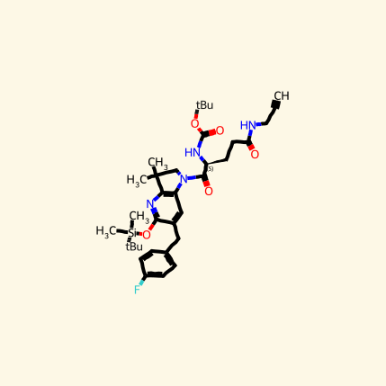 C#CCNC(=O)CC[C@H](NC(=O)OC(C)(C)C)C(=O)N1CC(C)(C)c2nc(O[Si](C)(C)C(C)(C)C)c(Cc3ccc(F)cc3)cc21